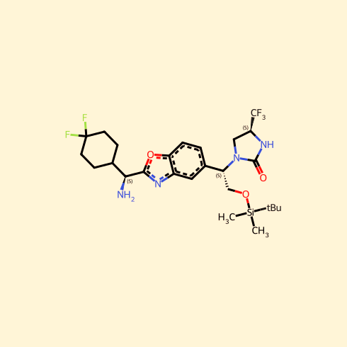 CC(C)(C)[Si](C)(C)OC[C@H](c1ccc2oc([C@@H](N)C3CCC(F)(F)CC3)nc2c1)N1C[C@@H](C(F)(F)F)NC1=O